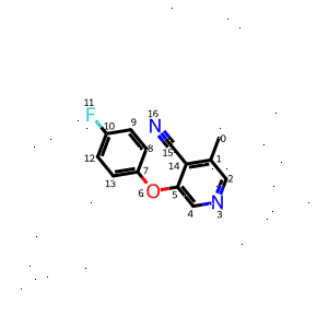 Cc1cncc(Oc2ccc(F)cc2)c1C#N